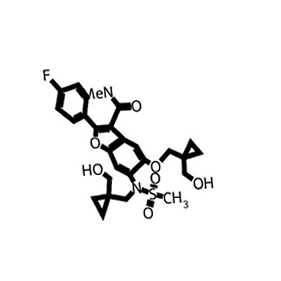 CNC(=O)c1c(-c2ccc(F)cc2)oc2cc(N(CC3(CO)CC3)S(C)(=O)=O)c(OCC3(CO)CC3)cc12